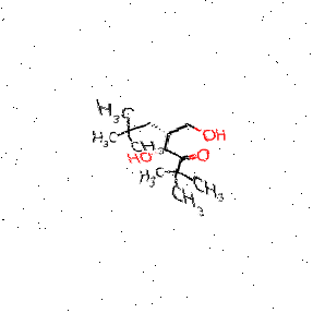 CC(C)(C)C[C@H](CO)[C@@H](O)C(=O)C(C)(C)C